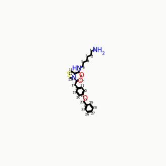 NCCCCCCNC(=O)C1CSCN1C(=O)Cc1ccc(OCc2ccccc2)cc1